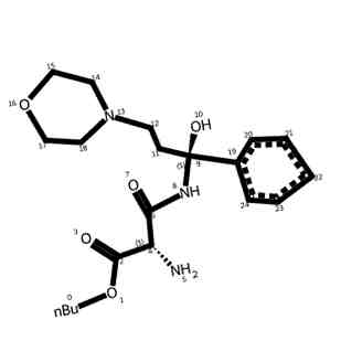 CCCCOC(=O)[C@@H](N)C(=O)N[C@](O)(CCN1CCOCC1)c1ccccc1